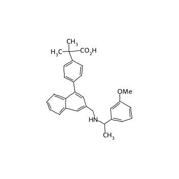 COc1cccc(C(C)NCc2cc(-c3ccc(C(C)(C)C(=O)O)cc3)c3ccccc3c2)c1